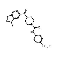 CCOC(=O)c1ccc(NC(=O)N2CCC(C(=O)c3ccc4c(c3)C(C)N=C4)CC2)cc1